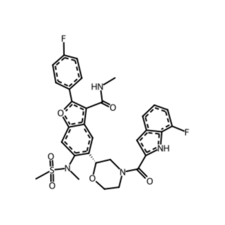 CNC(=O)c1c(-c2ccc(F)cc2)oc2cc(N(C)S(C)(=O)=O)c([C@@H]3CN(C(=O)c4cc5cccc(F)c5[nH]4)CCO3)cc12